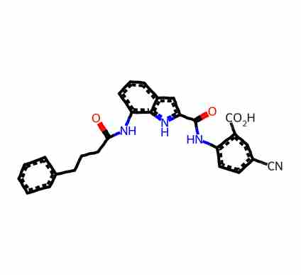 N#Cc1ccc(NC(=O)c2cc3cccc(NC(=O)CCCc4ccccc4)c3[nH]2)c(C(=O)O)c1